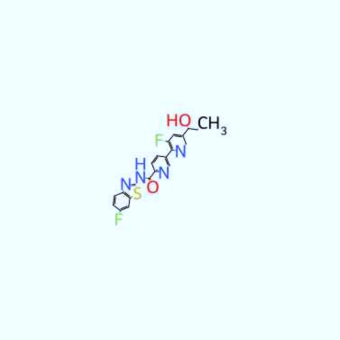 CC[C@@H](O)c1cnc(-c2ccc(C(=O)Nc3nc4ccc(F)cc4s3)nc2)c(F)c1